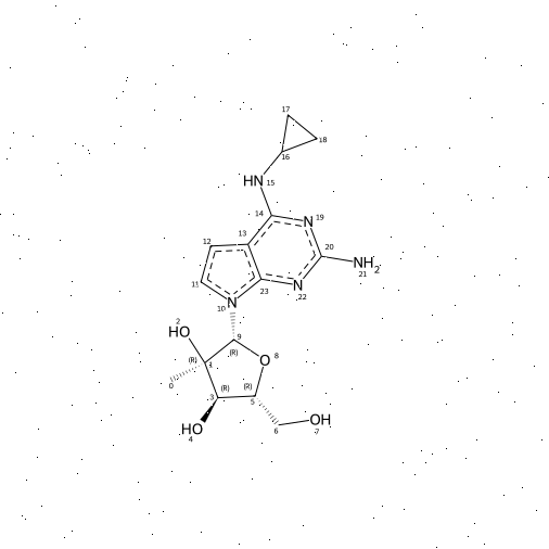 C[C@@]1(O)[C@H](O)[C@@H](CO)O[C@H]1n1ccc2c(NC3CC3)nc(N)nc21